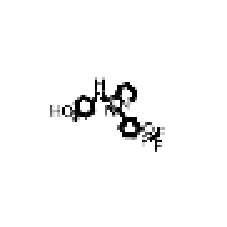 CC1(O)CCC(Nn2nc(-c3cccc(OC(F)(F)F)c3)[n+]3ccccc23)CC1